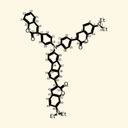 CCN(CC)c1ccc2cc(-c3ccc(N(c4ccc(-c5cc6ccccc6oc5=O)cc4)c4ccc5c(c4)Cc4cc(-c6cc7ccc(N(CC)CC)cc7oc6=O)ccc4-5)cc3)c(=O)oc2c1